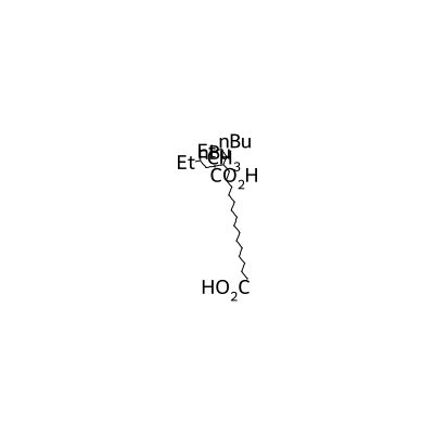 CCCCC(CC)CC(CCCCCCCCCCCCCCCC(=O)O)C(C)(CC(CC)CCCC)C(=O)O